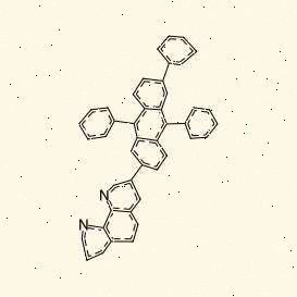 c1ccc(-c2ccc3c(-c4ccccc4)c4cc(-c5cnc6c(ccc7cccnc76)c5)ccc4c(-c4ccccc4)c3c2)cc1